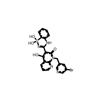 O=c1c(C2=NS(O)(O)c3ccccc3N2)c(O)c2cccnc2n1Cc1cncc(Br)c1